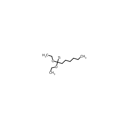 CCCCCC[C]([Ti])(OCC)OCC